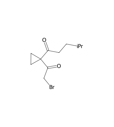 CC(C)CCC(=O)C1(C(=O)CBr)CC1